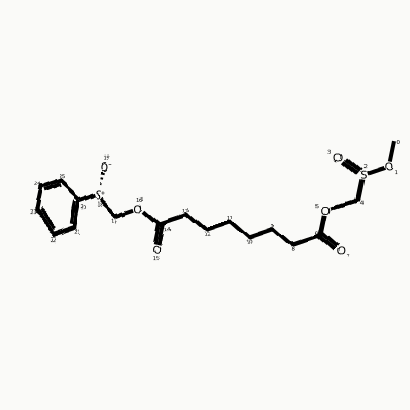 COS(=O)COC(=O)CCCCCCC(=O)OC[S@@+]([O-])c1ccccc1